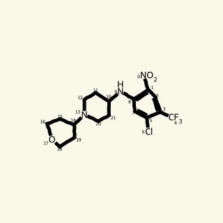 O=[N+]([O-])c1cc(C(F)(F)F)c(Cl)cc1NC1CCN(C2CCOCC2)CC1